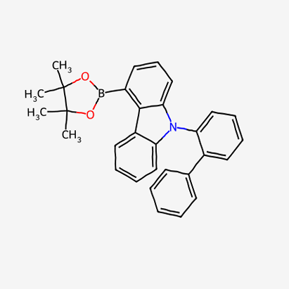 CC1(C)OB(c2cccc3c2c2ccccc2n3-c2ccccc2-c2ccccc2)OC1(C)C